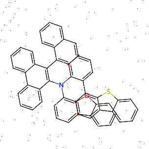 c1ccc(N(c2c(-c3cccc4ccccc34)c3ccccc3c3ccccc23)c2cccc3c2oc2ccccc23)c(-c2cccc3c2sc2ccccc23)c1